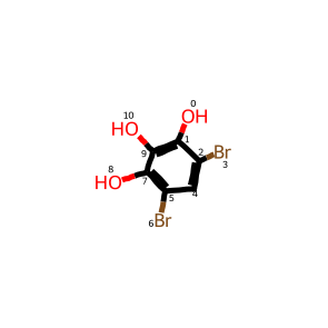 Oc1c(Br)cc(Br)c(O)c1O